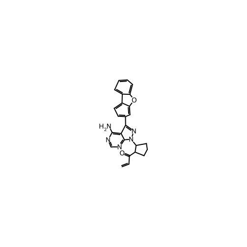 C=CC(=O)C1CCCC1n1nc(-c2ccc3c(c2)oc2ccccc23)c2c(N)ncnc21